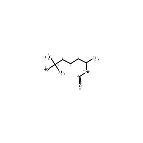 CC(CCCC(C)(C)O)N[C]=O